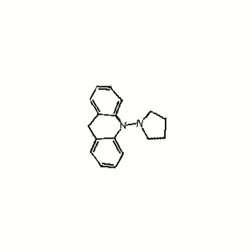 c1ccc2c(c1)Cc1ccccc1N2N1CCCC1